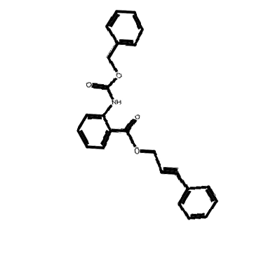 O=C(Nc1ccccc1C(=O)OC/C=C/c1ccccc1)OCc1ccccc1